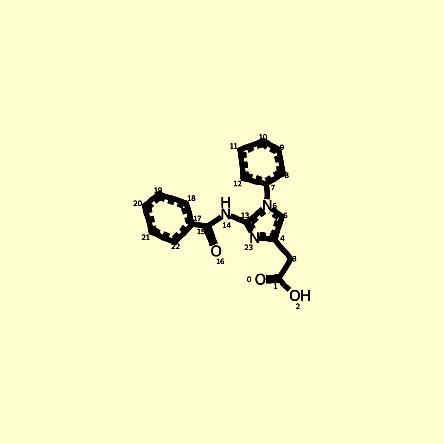 O=C(O)Cc1cn(-c2ccccc2)c(NC(=O)c2ccccc2)n1